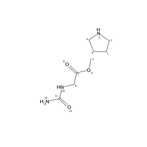 C1CCNC1.COC(=O)CNC(N)=O